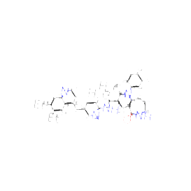 C=C(Nc1ccc(Cc2ccnc3cc(CC)c(CC)cc23)cn1)C1=CC2=C(CCCNC2=O)N(c2ccccc2)C1=C